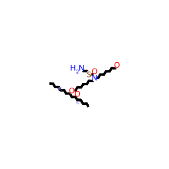 CCC/C=C/CCC(CC/C=C/CCC)OC(=O)CCCCCCN(CCCCCCC=O)C(=O)SCCN